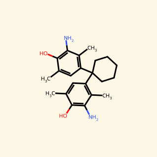 Cc1cc(C2(c3cc(C)c(O)c(N)c3C)CCCCC2)c(C)c(N)c1O